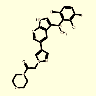 C[C@H](c1c(Cl)ccc(F)c1Cl)c1c[nH]c2ncc(-c3cnn(CC(=O)N4CCOCC4)c3)cc12